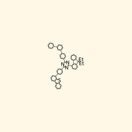 CCC1(CC)c2ccccc2-c2c(-c3nc(-c4ccc(-c5cccc(-c6ccccc6)c5)cc4)nc(-c4ccc(-c5cccc6c5sc5ccccc56)cc4)n3)cccc21